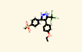 CCOc1ccc(-c2c(-c3ccc(S(C)(=O)=O)cc3)n[nH]c2C(F)(F)F)cc1